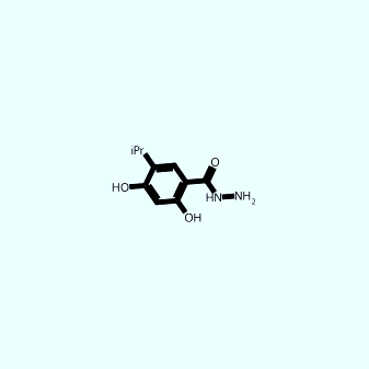 CC(C)c1cc(C(=O)NN)c(O)cc1O